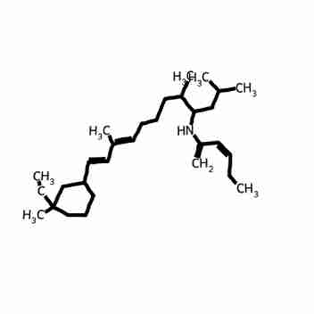 C=C(/C=C\CC)NC(CC(C)C)C(C)CCC/C=C(C)/C=C/C1CCCC(C)(CC)C1